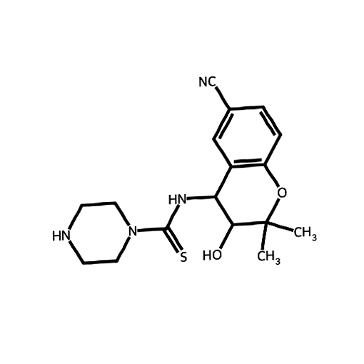 CC1(C)Oc2ccc(C#N)cc2C(NC(=S)N2CCNCC2)C1O